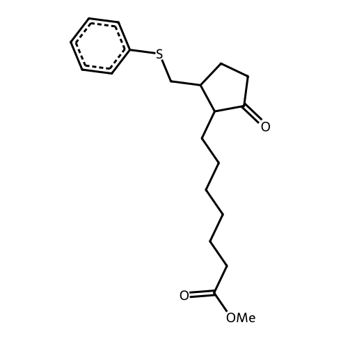 COC(=O)CCCCCCC1C(=O)CCC1CSc1ccccc1